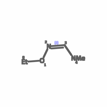 CCO/N=C\NC